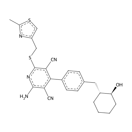 Cc1nc(CSc2nc(N)c(C#N)c(-c3ccc(C[C@H]4CCCC[C@@H]4O)cc3)c2C#N)cs1